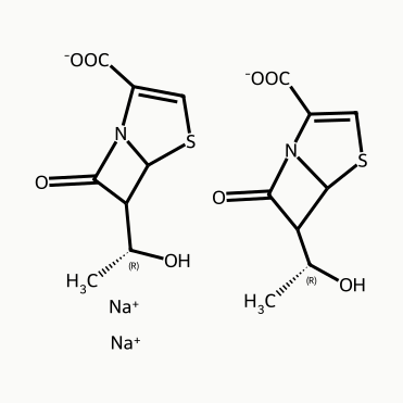 C[C@@H](O)C1C(=O)N2C(C(=O)[O-])=CSC12.C[C@@H](O)C1C(=O)N2C(C(=O)[O-])=CSC12.[Na+].[Na+]